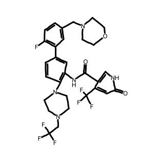 O=C(Nc1cc(-c2cc(CN3CCOCC3)ccc2F)ccc1N1CCN(CC(F)(F)F)CC1)c1c[nH]c(=O)cc1C(F)(F)F